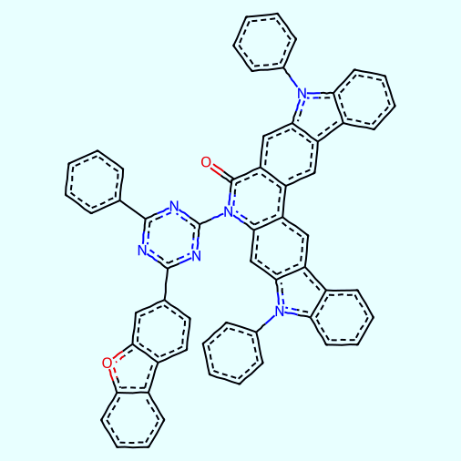 O=c1c2cc3c(cc2c2cc4c5ccccc5n(-c5ccccc5)c4cc2n1-c1nc(-c2ccccc2)nc(-c2ccc4c(c2)oc2ccccc24)n1)c1ccccc1n3-c1ccccc1